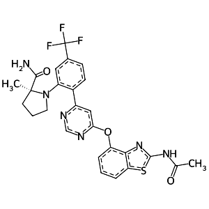 CC(=O)Nc1nc2c(Oc3cc(-c4ccc(C(F)(F)F)cc4N4CCC[C@@]4(C)C(N)=O)ncn3)cccc2s1